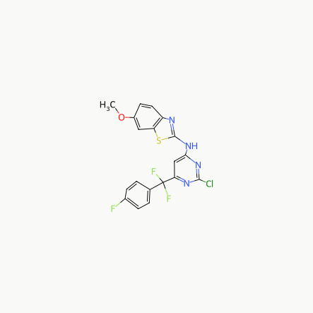 COc1ccc2nc(Nc3cc(C(F)(F)c4ccc(F)cc4)nc(Cl)n3)sc2c1